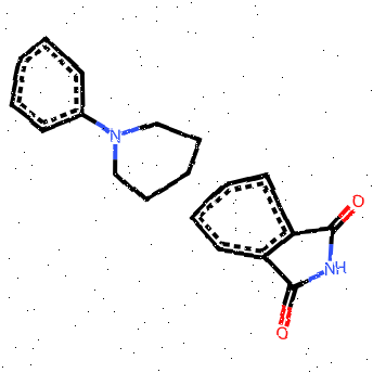 O=C1NC(=O)c2ccccc21.c1ccc(N2CCCCC2)cc1